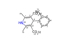 CC1=C(C(=O)O)C(c2ccccc2C#N)C(C(=O)O)=C(C)N1